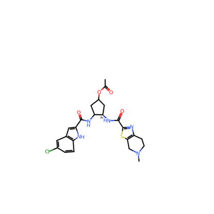 CC(=O)OC1CC(NC(=O)c2cc3cc(Cl)ccc3[nH]2)[C@H](NC(=O)c2nc3c(s2)CN(C)CC3)C1